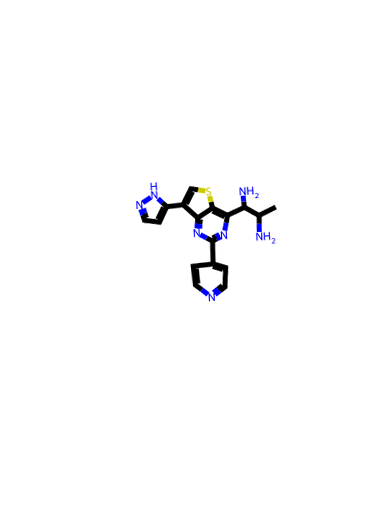 CC(N)C(N)c1nc(-c2ccncc2)nc2c(-c3ccn[nH]3)csc12